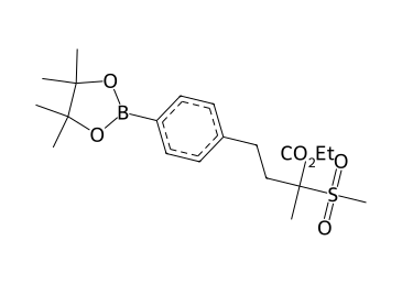 CCOC(=O)C(C)(CCc1ccc(B2OC(C)(C)C(C)(C)O2)cc1)S(C)(=O)=O